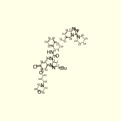 CC(C)(C)c1cc(NC(=O)N[C@H]2CC[C@@H](CCc3ccc4nnc(N5CCCCC5)n4c3)c3ccccc32)n(-c2ccc(Cl)c(OCCCN3CCOCC3)c2)n1